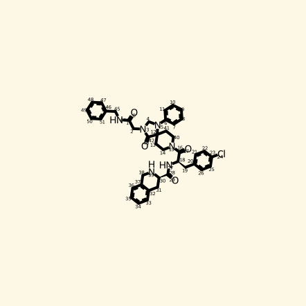 O=C(CN1CN(c2ccccc2)C2(CCN(C(=O)[C@@H](Cc3ccc(Cl)cc3)NC(=O)[C@H]3Cc4ccccc4CN3)CC2)C1=O)NCc1ccccc1